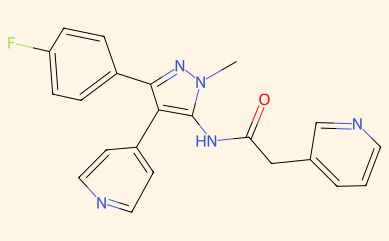 Cn1nc(-c2ccc(F)cc2)c(-c2ccncc2)c1NC(=O)Cc1cccnc1